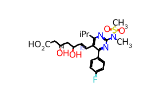 CC(C)c1nc(N(C)S(C)(=O)=O)nc(-c2ccc(F)cc2)c1/C=C/C(O)C[C@H](O)CC(=O)O